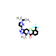 CC1c2nnn(-c3ccn(C(C)C)n3)c2CCN1C(=O)c1cccc(C(F)(F)F)c1Cl